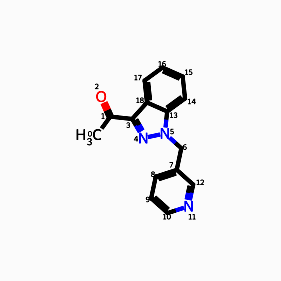 CC(=O)c1nn(Cc2cccnc2)c2ccccc12